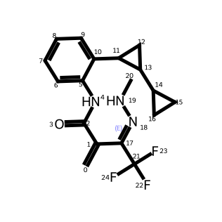 C=C(C(=O)Nc1ccccc1C1CC1C1CC1)/C(=N\NC)C(F)(F)F